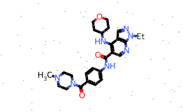 CCn1ncc2c(NC3CCOCC3)c(C(=O)Nc3ccc(C(=O)N4CCN(C)CC4)cc3)cnc21